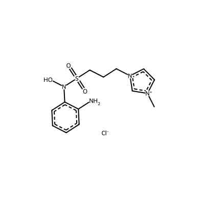 C[n+]1ccn(CCCS(=O)(=O)N(O)c2ccccc2N)c1.[Cl-]